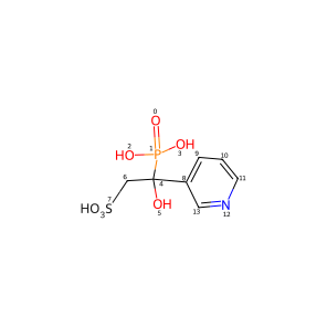 O=P(O)(O)C(O)(CS(=O)(=O)O)c1cccnc1